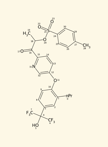 CCCc1cc(C(O)(C(F)(F)F)C(F)(F)F)ccc1Oc1ccc(C(=O)C(C)OS(=O)(=O)c2ccc(C)cc2)nc1